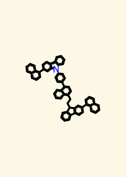 c1ccc2c(c1)-c1ccc(-c3cccc4ccccc34)cc1C2CCc1ccc(-c2ccc(-n3c4ccccc4c4ccc(-c5cccc6ccccc56)cc43)cc2)c2ccccc12